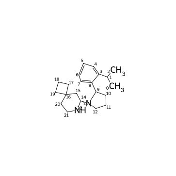 CC(C)c1ccccc1C1CCCN1C1CC2(CCC2)CCN1